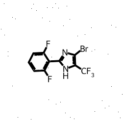 Fc1cccc(F)c1-c1nc(Br)c(C(F)(F)F)[nH]1